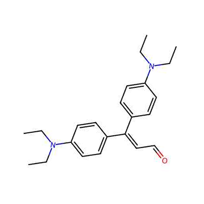 CCN(CC)c1ccc(C(=CC=O)c2ccc(N(CC)CC)cc2)cc1